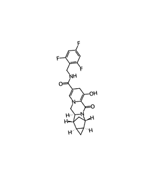 O=C(NCc1c(F)cc(F)cc1F)C1=CN2C[C@@H]3[C@@H]4C[C@@H]([C@H]5C[C@@H]45)N3C(=O)C2=C(O)C1